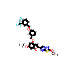 COc1cc(OCc2cccc(OCc3ccc(F)c(C(F)(F)F)c3)c2)c2cc(-c3cn4nc(OC)sc4n3)oc2c1